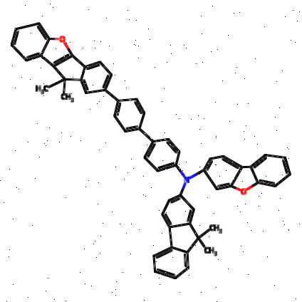 CC1(C)c2ccccc2-c2ccc(N(c3ccc(-c4ccc(-c5ccc6c(c5)C(C)(C)c5c-6oc6ccccc56)cc4)cc3)c3ccc4c(c3)oc3ccccc34)cc21